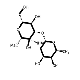 CO[C@@H]1O[C@H](CO)[C@@H](O)[C@H](O[C@H]2C[C@H](O)[C@H](O)[C@H](C)O2)[C@]1(O)NC(C)=O